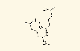 COC(CCCC(C)Cl)OC(CCCC(C)Cl)OC